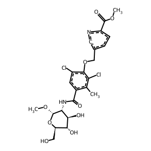 COC(=O)c1ccc(COc2c(Cl)cc(C(=O)N[C@H]3[C@@H](OC)O[C@H](CO)[C@@H](O)[C@@H]3O)c(C)c2Cl)cn1